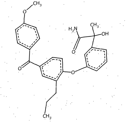 CCCc1cc(C(=O)c2ccc(OC)cc2)ccc1Oc1cccc(C(C)(O)C(N)=O)c1